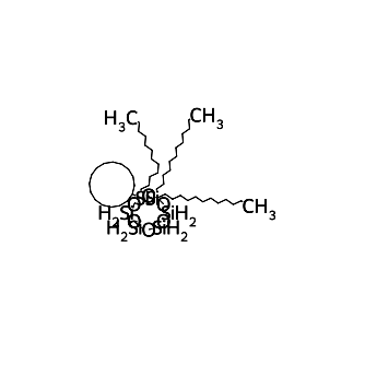 CCCCCCCCCCCC[Si]1(CCCCCCCCCCCC)O[SiH2]O[SiH2]O[SiH2]O[SiH2]O[Si](CCCCCCCCCCCC)(C2CCCCCCCCCCCCCCC2)O1